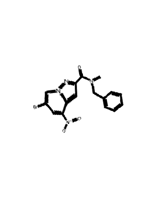 CN(Cc1ccccc1)C(=O)c1cc2c([N+](=O)[O-])cc(Br)cn2n1